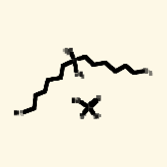 CCCCCCC[N+](C)(C)CCCCCCC.O=P([O-])(O)O